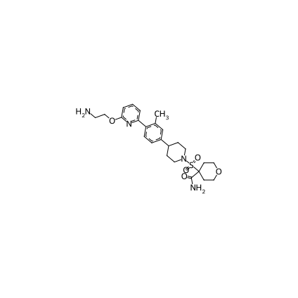 Cc1cc(C2CCN(S(=O)(=O)C3(C(N)=O)CCOCC3)CC2)ccc1-c1cccc(OCCN)n1